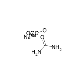 NC(N)=O.O=C([O-])[O-].[Na+].[Na+]